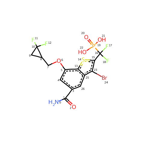 NC(=O)c1cc(OCC2CC2(F)F)c2sc(C(F)(F)P(=O)(O)O)c(Br)c2c1